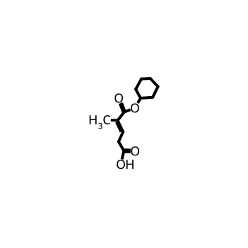 CC(=CCC(=O)O)C(=O)OC1CCCCC1